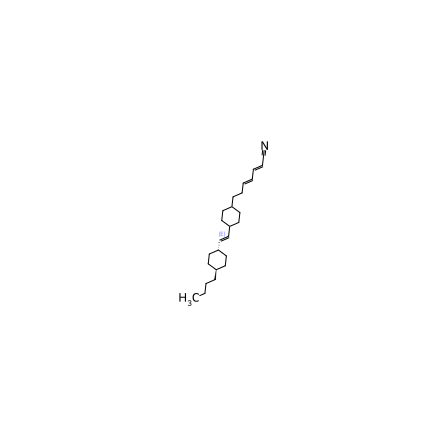 CCCC[C@H]1CC[C@H](/C=C/C2CCC(CCC=CC=CC#N)CC2)CC1